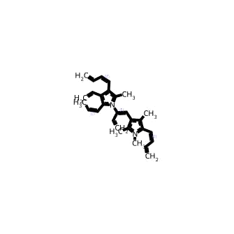 C=C/C=C\c1c(C=C)c(/C=C\C)n(/C(C=C)=C/c2c(C)c(/C=C\C=C)n(C)c2C)c1C